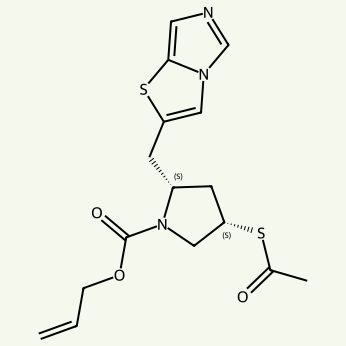 C=CCOC(=O)N1C[C@@H](SC(C)=O)C[C@H]1Cc1cn2cncc2s1